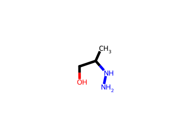 CC(CO)NN